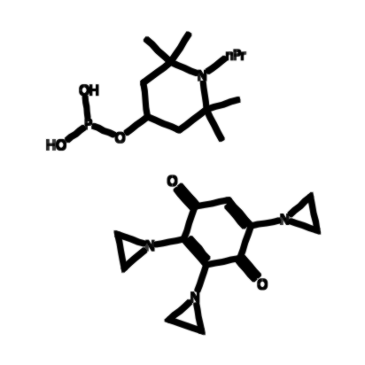 CCCN1C(C)(C)CC(OP(O)O)CC1(C)C.O=C1C=C(N2CC2)C(=O)C(N2CC2)=C1N1CC1